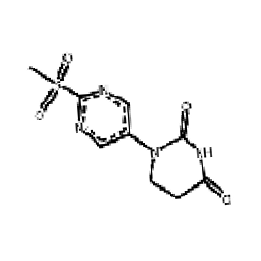 CS(=O)(=O)c1ncc(N2CCC(=O)NC2=O)cn1